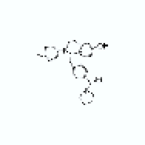 CCC(c1ccc(CC2c3ccc(O)cc3CCN2c2ccc(F)cc2)cc1)N1CCCCC1